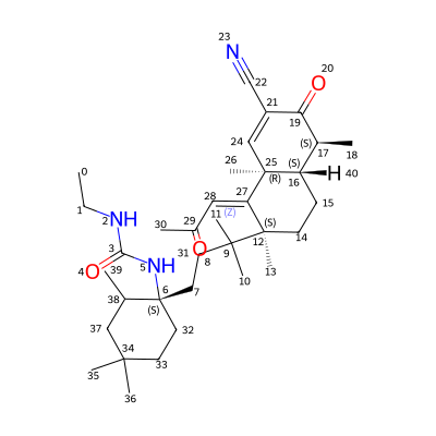 CCNC(=O)N[C@]1(CCC(C)(C)[C@]2(C)CC[C@H]3[C@H](C)C(=O)C(C#N)=C[C@]3(C)/C2=C/C(C)=O)CCC(C)(C)CC1C